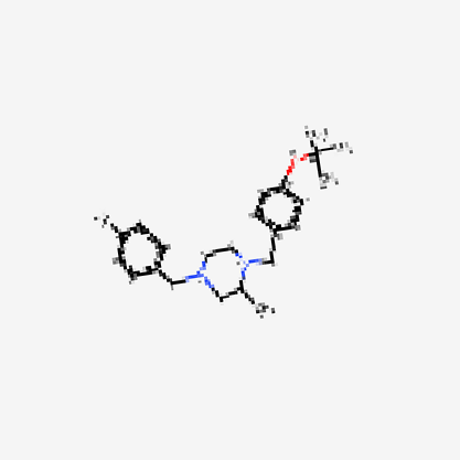 CC1CN(Cc2ccc(C(F)(F)F)cc2)CCN1Cc1ccc(OC(C)(C)C(=O)O)cc1